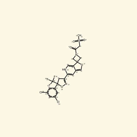 CS(=O)(=O)CC(=O)N1CC2(C1)OC=C1C=C(C3=NOC(c4cc(Cl)cc(Cl)c4)(C(F)(F)F)C3)NC=C12